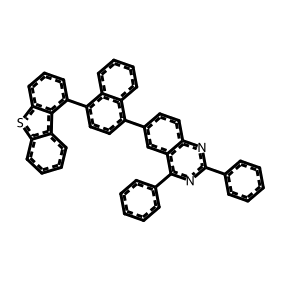 c1ccc(-c2nc(-c3ccccc3)c3cc(-c4ccc(-c5cccc6sc7ccccc7c56)c5ccccc45)ccc3n2)cc1